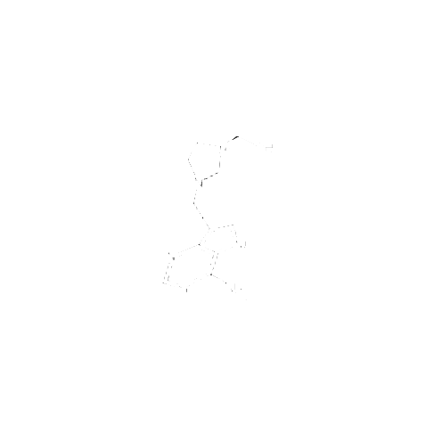 Nc1ncnc2c(CN3CC[C@@H](CO)C3)c[nH]c12